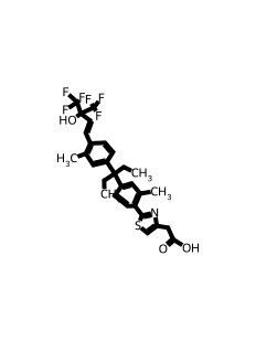 CCC(CC)(c1ccc(C=CC(O)(C(F)(F)F)C(F)(F)F)c(C)c1)c1ccc(-c2nc(CC(=O)O)cs2)c(C)c1